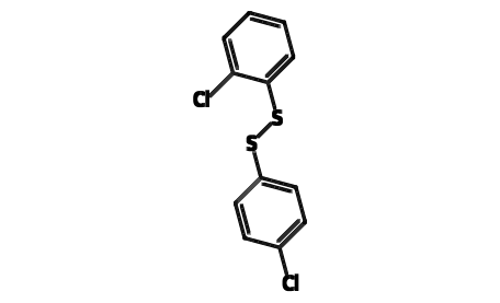 Clc1ccc(SSc2ccccc2Cl)cc1